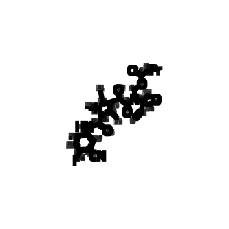 C#CC1(N(COC(=O)C(C)C)C(=O)C(=O)c2c(C)c(C(=O)Nc3ccc(F)c(C#N)c3)n(C)c2C)COC1